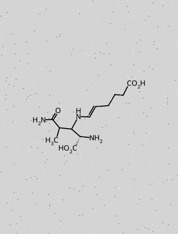 CC(C(N)=O)C(NC=CCCCC(=O)O)[C@H](N)C(=O)O